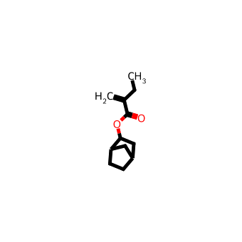 C=C(CC)C(=O)OC1CC2CCC1C2